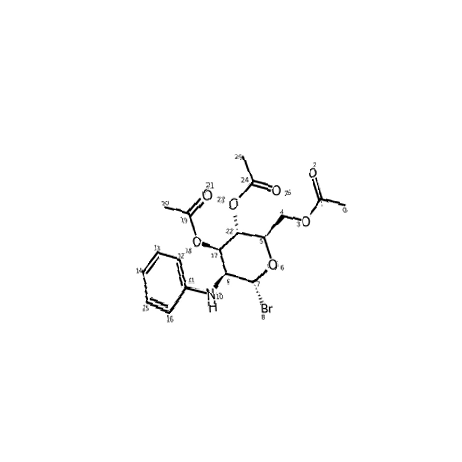 CC(=O)OC[C@H]1O[C@H](Br)[C@@H](Nc2ccccc2)[C@@H](OC(C)=O)[C@@H]1OC(C)=O